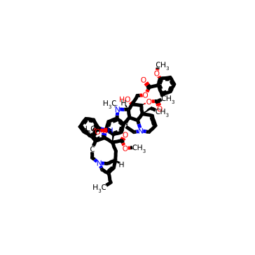 CCC1=C[C@@H]2CN(CCc3c([nH]c4ccccc34)[C@@](C(=O)OC)(c3cc4c(cc3OC)N(C)[C@H]3C(O)(COC(=O)c5ccccc5OC)[C@H](OC(C)=O)[C@]5(CC)C=CCN6CC[C@]43C65)C2)C1